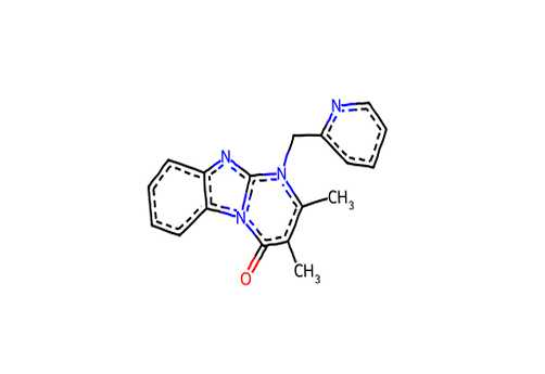 Cc1c(C)n(Cc2ccccn2)c2nc3ccccc3n2c1=O